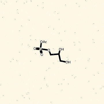 CC(=O)OS(=O)(=O)OCC(O)CO